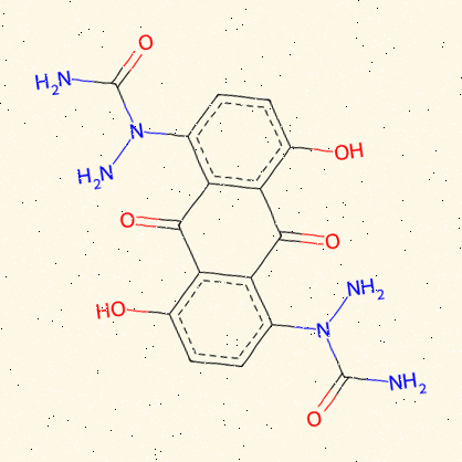 NC(=O)N(N)c1ccc(O)c2c1C(=O)c1c(O)ccc(N(N)C(N)=O)c1C2=O